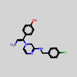 N/C=C(/c1ccc(O)cc1)N1C=CN=C(NCc2ccc(Cl)cc2)C1